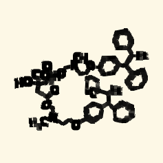 CC/C(=C(\c1ccccc1)c1ccc(OCCN(C)COC(=O)CC(O)(CC(=O)OCN(C)CCOc2ccc(/C(=C(/CC)c3ccccc3)c3ccccc3)cc2)C(=O)O)cc1)c1ccccc1